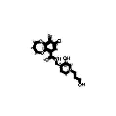 O=C(NC[C@@H]1CCN(CCCO)C[C@H]1O)c1cc(Cl)c(Br)c2c1OCCCO2